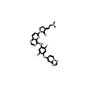 CN(C)C/C=C1\CCN(c2ccc3ncnc(Nc4cc(F)c(Oc5ccn6ncnc6c5)cc4F)c3n2)C1=O